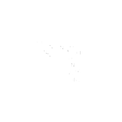 C[C@H]1CN(C(=O)OC(C)(C)C)CC[C@H]1C(=O)N1CCn2c(nnc2C(F)(F)F)C1